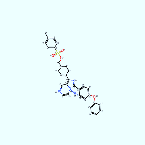 Cc1ccc(S(=O)(=O)OCC2CCC(C3=C4C=NC=C[N+]4(N)C(c4ccc(Oc5ccccc5)cc4)=N3)CC2)cc1